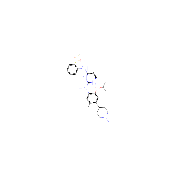 Cc1cc(Nc2ncc(Cl)c(Nc3ccccc3S(C)(=O)=O)n2)c(OC(C)C)cc1C1CCN(C)CC1